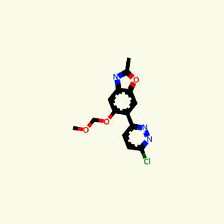 COCOc1cc2nc(C)oc2cc1-c1ccc(Cl)nn1